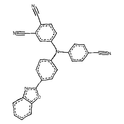 N#Cc1ccc(N(c2ccc(-c3nc4ccccc4o3)cc2)c2ccc(C#N)c(C#N)c2)cc1